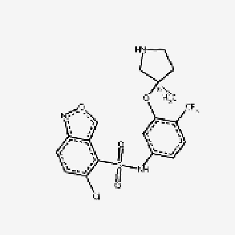 C[C@@]1(Oc2cc(NS(=O)(=O)c3c(Cl)ccc4nocc34)ccc2C(F)(F)F)CCNC1